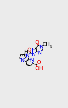 Cn1cnc(NC(=O)N2c3nc(C(=O)O)ccc3N3CC[C@H]2C3)cc1=O